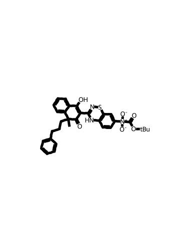 CC(C)(C)OC(=O)[N+]([O-])([O-])c1ccc2c(c1)SN=C(C1=C(O)c3ccccc3C(C)(CCCc3ccccc3)C1=O)N2